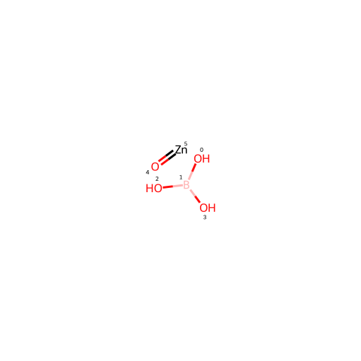 OB(O)O.[O]=[Zn]